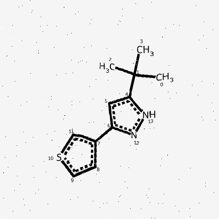 CC(C)(C)c1cc(-c2ccsc2)n[nH]1